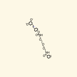 COc1cc(/C=C/c2ccc(OC(=O)NCCOCCOCCOCCNC(=O)c3cccnc3)cc2)cc(OC)c1